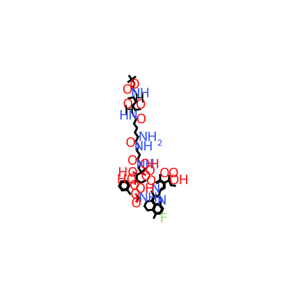 CC[C@@]1(O)C(=O)OCc2c1cc1n(c2=O)Cc2c-1nc1cc(F)c(C)c3c1c2[C@@H](NC(=O)OCc1ccccc1OC1(O)C(O)COC(CNC(=O)CCNC(=O)[C@@H](N)CCCC(=O)N[C@H]2CO[C@H]4[C@@H]2OC[C@@H]4NC(=O)OC(C)(C)C)(C(=O)O)C1O)CC3